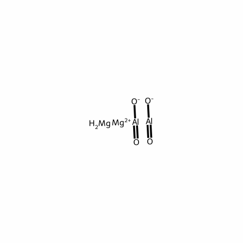 [Mg+2].[MgH2].[O]=[Al][O-].[O]=[Al][O-]